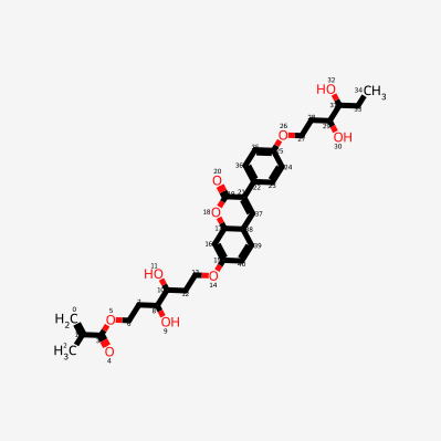 C=C(C)C(=O)OCCC(O)C(O)CCOC1=CC2OC(=O)C(c3ccc(OCCC(O)C(O)CC)cc3)=CC2C=C1